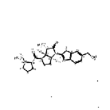 C[C@@H]1C(=O)N(c2nc3ccc(CO)cc3s2)[C@H]2CCN(C(=O)[C@@H]3CCCN3C(=O)O)[C@H]12